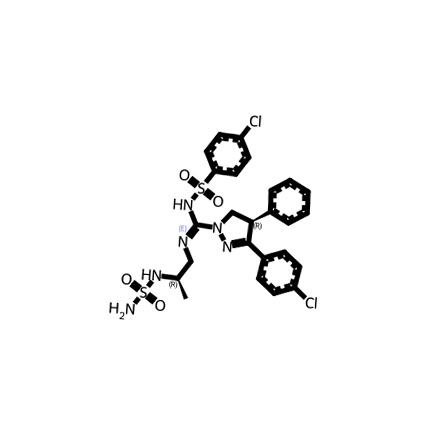 C[C@H](C/N=C(/NS(=O)(=O)c1ccc(Cl)cc1)N1C[C@@H](c2ccccc2)C(c2ccc(Cl)cc2)=N1)NS(N)(=O)=O